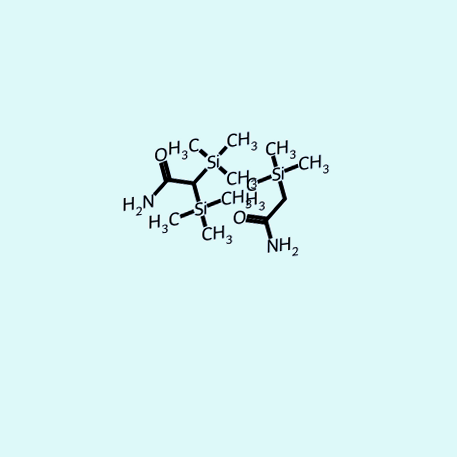 C[Si](C)(C)C(C(N)=O)[Si](C)(C)C.C[Si](C)(C)CC(N)=O